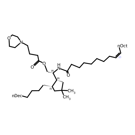 CCCCCCCC/C=C\CCCCCCCC(=O)N[C@@H](COC(=O)CCCN1CCOCC1)[C@@H]1CC(C)(C)C[C@@H]1CCCCCCCCCCCCCC